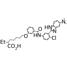 CCC(CCCCCOc1cccc(C(=O)Nc2ccc(Cl)c(-c3nc4cc(N(C)C)ccc4[nH]3)c2)c1)C(=O)O